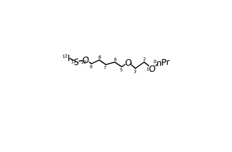 CCCOCCOCCCCCOSI